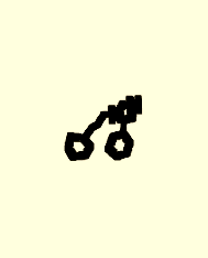 c1ccc(CCCn2cncc2-c2ccccc2)cc1